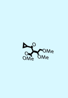 COC/C(OC)=C(/C(=O)OC)C(=O)C1CC1